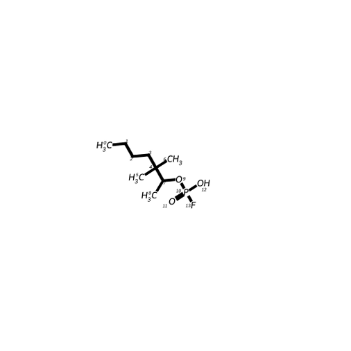 CCCCC(C)(C)C(C)OP(=O)(O)F